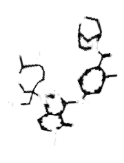 Cc1cc(Nc2nn(C3(CC#N)CCC(C(=O)O)OC3)c3cc[nH]c(=O)c23)ccc1C(=O)N1CC2CC1CO2